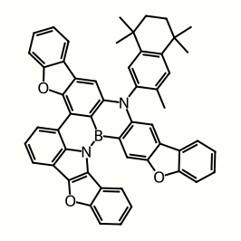 Cc1cc2c(cc1N1c3cc4c(cc3B3c5c1cc1c(oc6ccccc61)c5-c1cccc5c6oc7ccccc7c6n3c15)oc1ccccc14)C(C)(C)CCC2(C)C